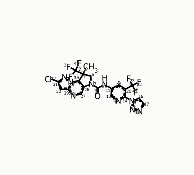 C[C@@]1(C(F)(F)F)CN(C(=O)Nc2cnc(-n3ccnn3)c(C(F)(F)F)c2)c2cnc3cc(Cl)nn3c21